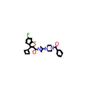 O=C(c1ccccc1)N1CCN(C2CN(C(=O)c3sc4cc(F)ccc4c3C3CCC3)C2)CC1